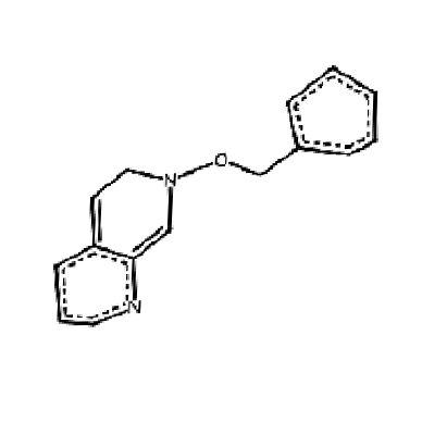 C1=c2cccnc2=CN(OCc2ccccc2)C1